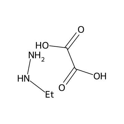 CCNN.O=C(O)C(=O)O